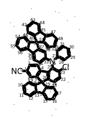 N#Cc1ccc2c(c1)C1(c3ccccc3-c3ccccc31)c1ccc(Cl)c(N(c3ccccc3)c3ccc4c(c3)C3(c5ccccc5-c5ccccc53)c3ccccc3-4)c1-2